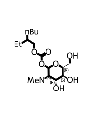 CCCCC(CC)COC(=O)OC1O[C@H](CO)[C@@H](O)[C@H](O)[C@H]1NC